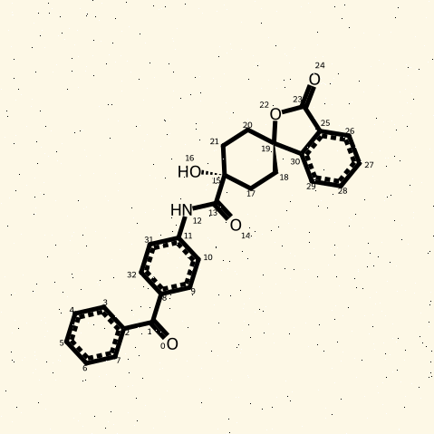 O=C(c1ccccc1)c1ccc(NC(=O)[C@]2(O)CC[C@@]3(CC2)OC(=O)c2ccccc23)cc1